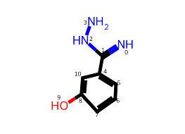 N=C(NN)c1cccc(O)c1